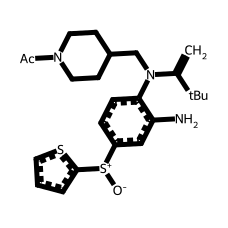 C=C(N(CC1CCN(C(C)=O)CC1)c1ccc([S+]([O-])c2cccs2)cc1N)C(C)(C)C